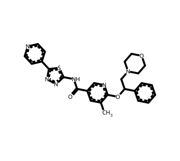 Cc1cc(C(=O)Nc2nnc(-c3ccncc3)s2)cnc1OC(CN1CCOCC1)c1ccccc1